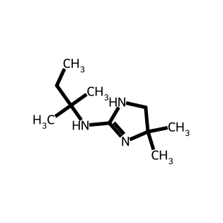 CCC(C)(C)NC1=NC(C)(C)CN1